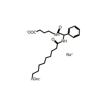 CCCCCCCCCCCCCCCCCCC(=O)NC(C(=O)NCCCC(=O)[O-])c1ccccc1.[Na+]